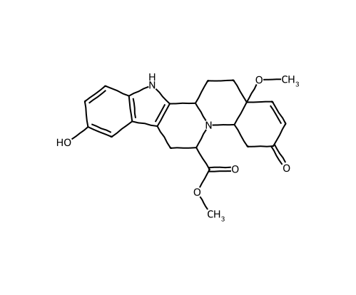 COC(=O)C1Cc2c([nH]c3ccc(O)cc23)C2CCC3(OC)C=CC(=O)CC3N12